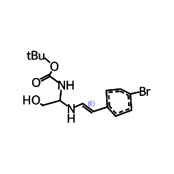 CC(C)(C)OC(=O)NC(CO)N/C=C/c1ccc(Br)cc1